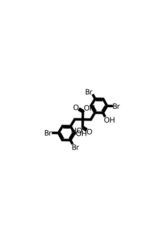 O=C(O)C(Cc1cc(Br)cc(Br)c1O)(Cc1cc(Br)cc(Br)c1O)C(=O)O